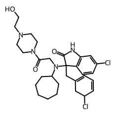 O=C(CN(C1CCCCCC1)C1(CC2=CC=CC(Cl)C2)C(=O)Nc2cc(Cl)ccc21)N1CCN(CCO)CC1